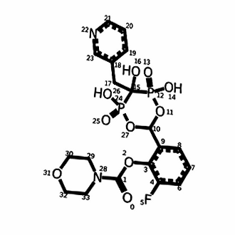 O=C(Oc1c(F)cccc1C1OP(=O)(O)C(O)(Cc2cccnc2)P(=O)(O)O1)N1CCOCC1